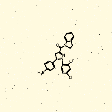 Bc1ccc(C2CC(C(=O)N3CCc4ccccc43)=NN2c2ccc(Cl)cc2Cl)cc1